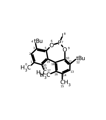 Cc1cc(C(C)(C)C)c2op(I)oc3c(C(C)(C)C)cc(C)c(C)c3c2c1C